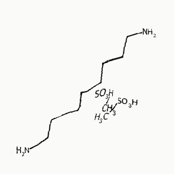 CS(=O)(=O)O.CS(=O)(=O)O.NCCCCCCCCN